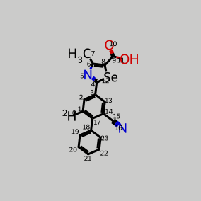 [2H]c1cc(-c2nc(C)c(C(=O)O)[se]2)cc(C#N)c1-c1ccccc1